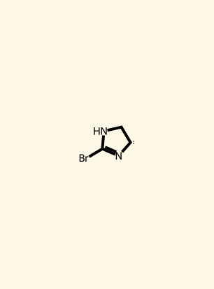 BrC1=N[C]CN1